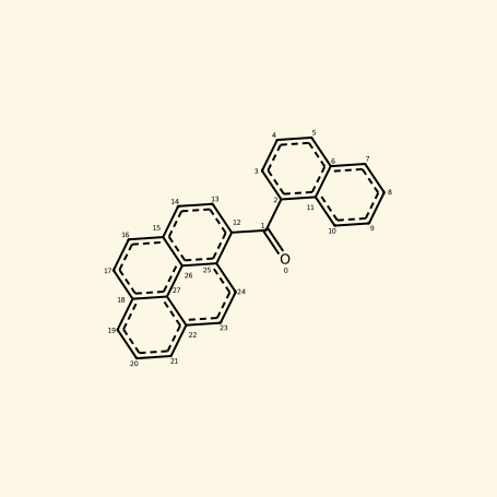 O=C(c1cccc2ccccc12)c1ccc2ccc3cccc4ccc1c2c34